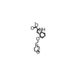 COC(=O)c1cc2c(OCCN3CCOCC3)cccc2[nH]1